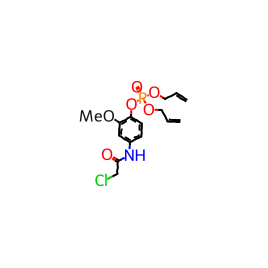 C=CCOP(=O)(OCC=C)Oc1ccc(NC(=O)CCl)cc1OC